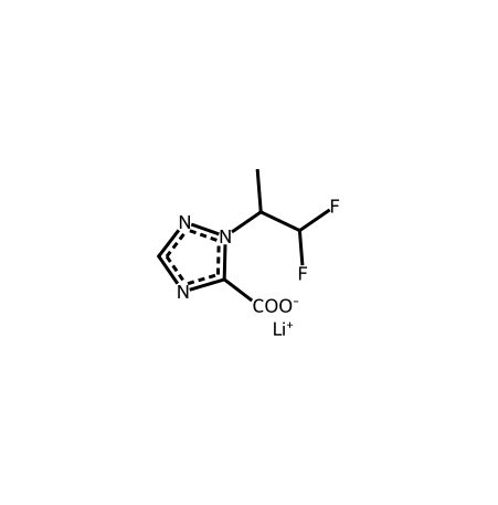 CC(C(F)F)n1ncnc1C(=O)[O-].[Li+]